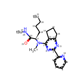 CN(c1nc(-c2ccccn2)nc2c1CCC2)[C@H](CCCC(C)(C)C)C(=O)NC(C)(C)C